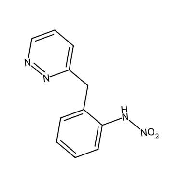 O=[N+]([O-])Nc1ccccc1Cc1cccnn1